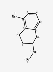 CCCNC1CCc2c(Br)cccc2C1